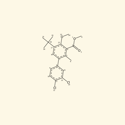 COC(=O)c1c(C)c(-c2ccc(Cl)c(Cl)c2)cc(C(C)(C)C)c1OC